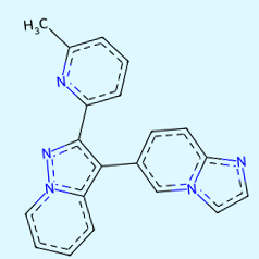 Cc1cccc(-c2nn3ccccc3c2-c2ccc3nccn3c2)n1